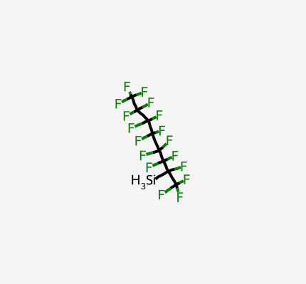 FC(F)(F)C(F)(F)C(F)(F)C(F)(F)C(F)(F)C(F)(F)C(F)([SiH3])C(F)(F)F